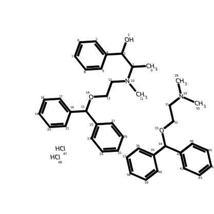 CC(C(O)c1ccccc1)N(C)CCOC(c1ccccc1)c1ccccc1.CN(C)CCOC(c1ccccc1)c1ccccc1.Cl.Cl